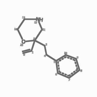 C=CC1(CCc2ccccc2)CNCCO1